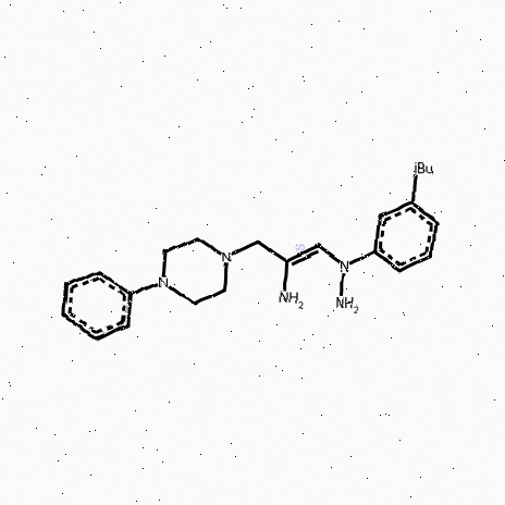 CCC(C)c1cccc(N(N)/C=C(\N)CN2CCN(c3ccccc3)CC2)c1